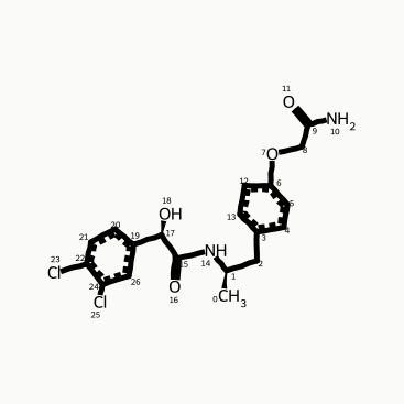 C[C@H](Cc1ccc(OCC(N)=O)cc1)NC(=O)[C@H](O)c1ccc(Cl)c(Cl)c1